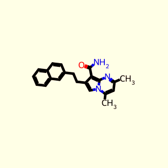 Cc1cc(C)n2cc(CCc3ccc4ccccc4c3)c(C(N)=O)c2n1